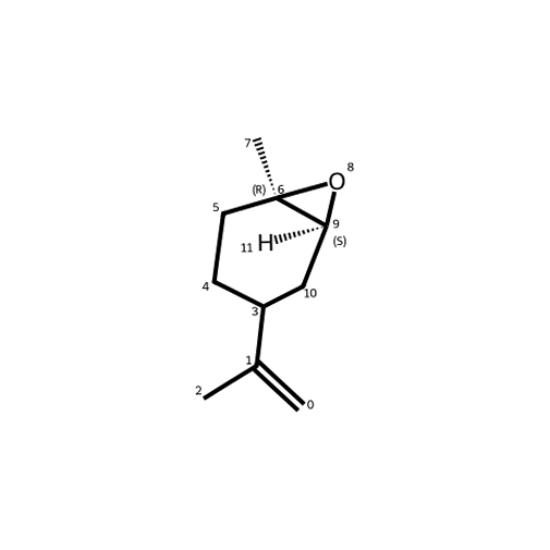 C=C(C)C1CC[C@@]2(C)O[C@H]2C1